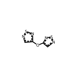 c1nsnc1Oc1cnsn1